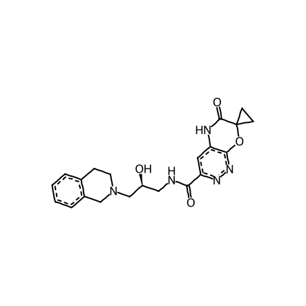 O=C(NC[C@H](O)CN1CCc2ccccc2C1)c1cc2c(nn1)OC1(CC1)C(=O)N2